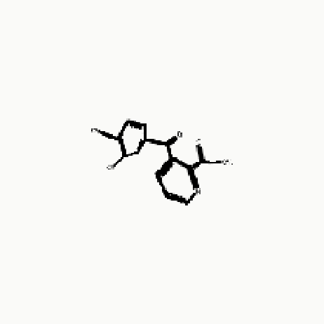 O=C(c1ccc(Cl)c(Cl)c1)c1cccnc1C(=O)O